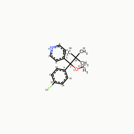 COC(c1ccncc1)(c1ccc(F)cc1)C(C)(C)C